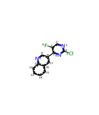 Fc1cnc(Cl)nc1-c1cnc2ccccc2c1